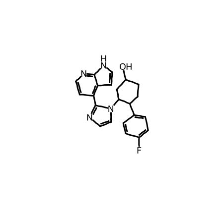 OC1CCC(c2ccc(F)cc2)C(n2ccnc2-c2ccnc3[nH]ccc23)C1